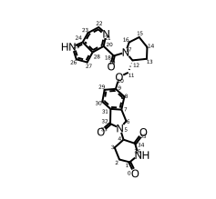 O=C1CCC(N2Cc3cc(OC[C@H]4CCCCN4C(=O)c4nccc5[nH]ccc45)ccc3C2=O)C(=O)N1